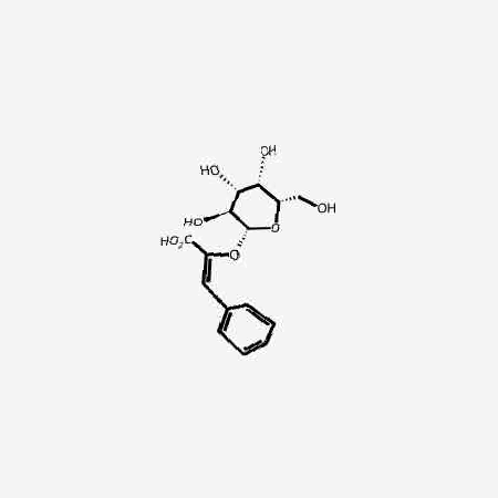 O=C(O)C(=Cc1ccccc1)O[C@H]1O[C@@H](CO)[C@@H](O)[C@@H](O)[C@@H]1O